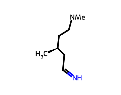 CNCC[C@H](C)CC=N